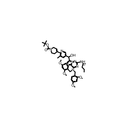 CCC[C@H](C)Nc1nc(N(Cc2ccc(OC)cc2OC)Cc2ccc(OC)cc2OC)c2ncc(C(O)c3cnc(C4=CCN(C(=O)OC(C)(C)C)CC4)c(C)c3)n2n1